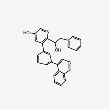 Oc1cnc(C(O)Cc2ccccc2)c(-c2cccc(-c3cncc4ccccc34)c2)c1